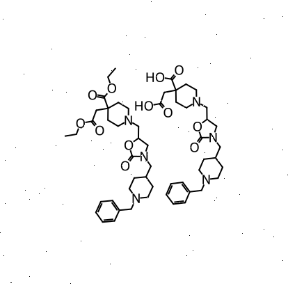 CCOC(=O)CC1(C(=O)OCC)CCN(CC2CN(CC3CCN(Cc4ccccc4)CC3)C(=O)O2)CC1.O=C(O)CC1(C(=O)O)CCN(CC2CN(CC3CCN(Cc4ccccc4)CC3)C(=O)O2)CC1